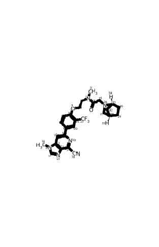 CN(CCOc1ccc(-c2cc3c(ncn3C)c(C#N)n2)cc1C(F)(F)F)C(=O)CN1C[C@@H]2CC[C@H]1C2